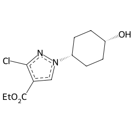 CCOC(=O)c1cn([C@H]2CC[C@@H](O)CC2)nc1Cl